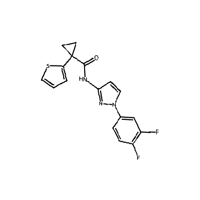 O=C(Nc1ccn(-c2ccc(F)c(F)c2)n1)C1(c2cccs2)CC1